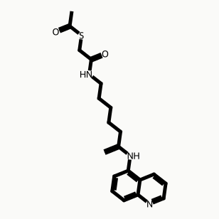 C=C(CCCCCNC(=O)CSC(C)=O)Nc1cccc2ncccc12